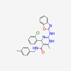 CC1=C(C(=O)NCc2ccc(C)cc2)C(c2ccccc2Cl)N=C(Nc2nc3ccccc3o2)N1